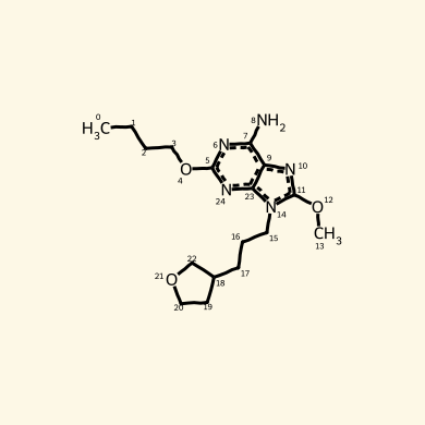 CCCCOc1nc(N)c2nc(OC)n(CCCC3CCOC3)c2n1